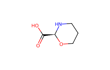 O=C(O)[C@H]1NCCCO1